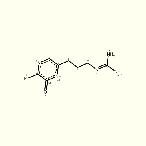 CC(C)c1ncc(CCCN=C(N)N)[nH]c1=O